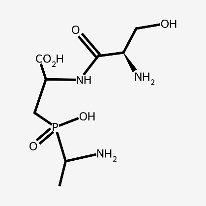 CC(N)P(=O)(O)CC(NC(=O)[C@H](N)CO)C(=O)O